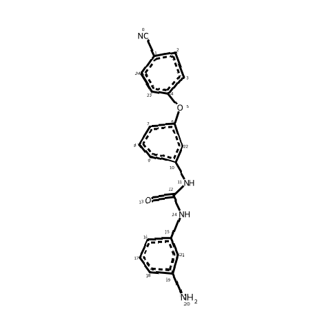 N#Cc1ccc(Oc2cccc(NC(=O)Nc3cccc(N)c3)c2)cc1